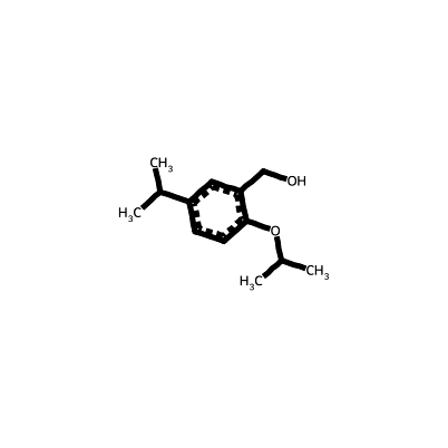 CC(C)Oc1ccc(C(C)C)cc1CO